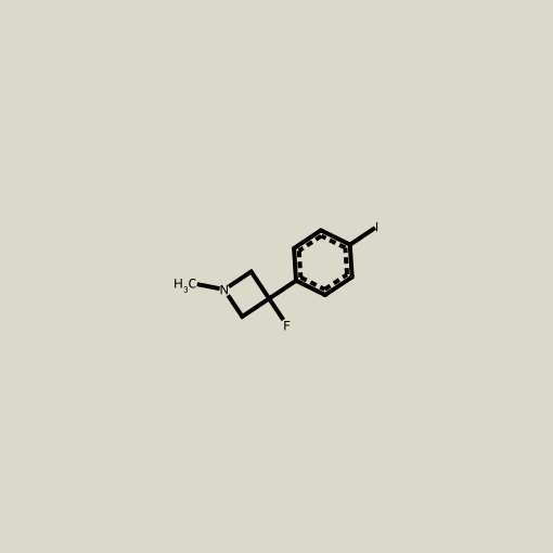 CN1CC(F)(c2ccc(I)cc2)C1